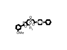 COc1cccc(-c2nc(CS(=O)(=O)CC(=O)N3CCN(c4ccccc4)CC3)c(C)o2)c1